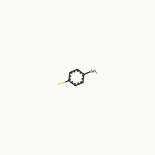 [SiH3]c1ccc(S)cc1